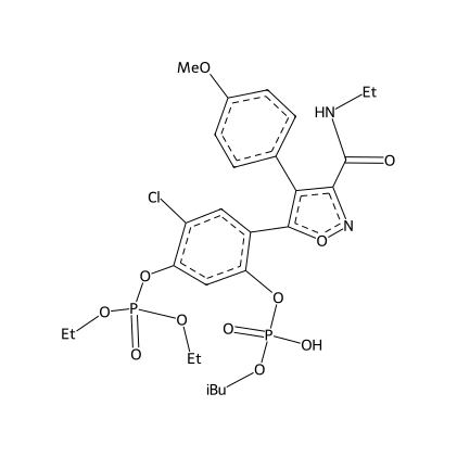 CCNC(=O)c1noc(-c2cc(Cl)c(OP(=O)(OCC)OCC)cc2OP(=O)(O)OC(C)CC)c1-c1ccc(OC)cc1